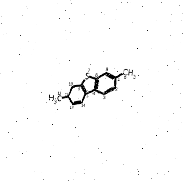 Cc1ccc2c3c(sc2c1)CC(C)C=C3